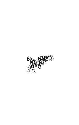 N#CC1(COc2nc(Br)cn3cc(C(=O)N4CC[C@]5(Cc6ccccc6CN5)[C@H](O)C4)nc23)CC1